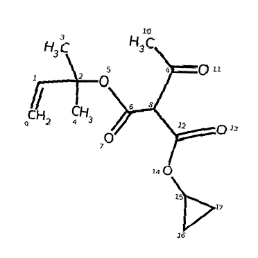 C=CC(C)(C)OC(=O)C(C(C)=O)C(=O)OC1CC1